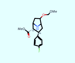 COCOC1CC2NC1C[C@@H](c1ccc(F)cc1)[C@@H]2C(=O)OC